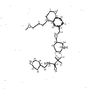 COCCCN1CCOc2ccc(CO[C@@H]3CC[C@@H](CC(C)(C)C(=O)NCC4CCOCC4)NC3)cc21